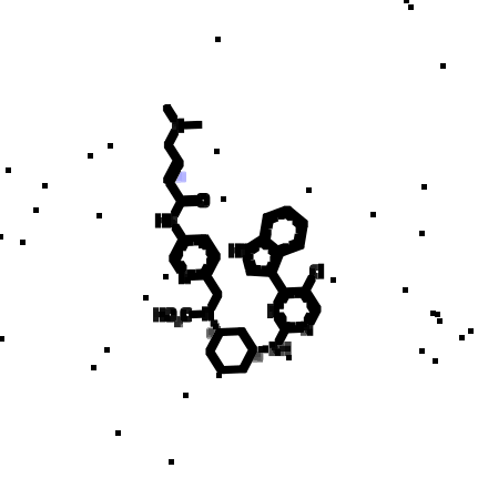 CN(C)C/C=C/C(=O)Nc1ccc(CN(C(=O)O)[C@H]2CCC[C@@H](Nc3ncc(Cl)c(-c4c[nH]c5ccccc45)n3)C2)nc1